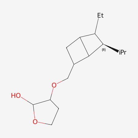 CCC1C2CC(COC3CCOC3O)C2[C@@H]1C(C)C